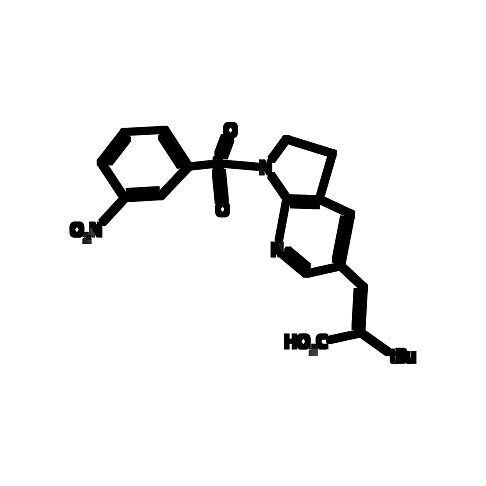 CC(C)(C)C(=Cc1cnc2c(c1)CCN2S(=O)(=O)c1cccc([N+](=O)[O-])c1)C(=O)O